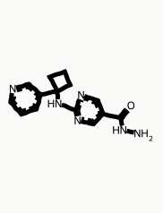 NNC(=O)c1cnc(NC2(c3cccnc3)CCC2)nc1